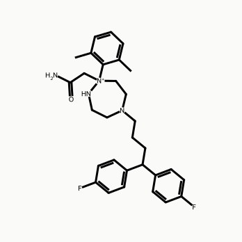 Cc1cccc(C)c1[N+]1(CC(N)=O)CCN(CCCC(c2ccc(F)cc2)c2ccc(F)cc2)CCN1